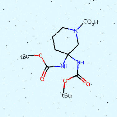 CC(C)(C)OC(=O)NC1(NC(=O)OC(C)(C)C)CCCN(C(=O)O)C1